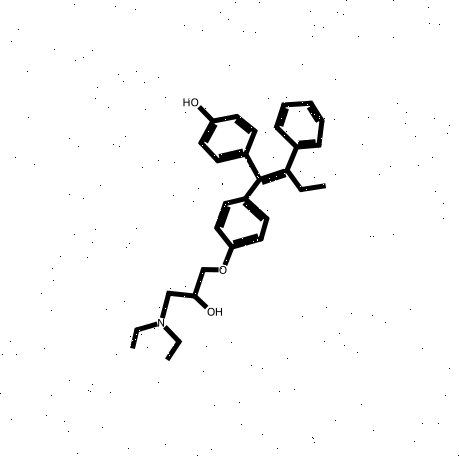 CCC(=C(c1ccc(O)cc1)c1ccc(OCC(O)CN(CC)CC)cc1)c1ccccc1